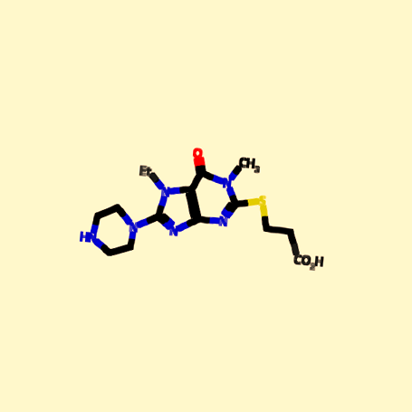 CCn1c(N2CCNCC2)nc2nc(SCCC(=O)O)n(C)c(=O)c21